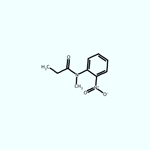 CCC(=O)N(C)c1ccccc1[N+](=O)[O-]